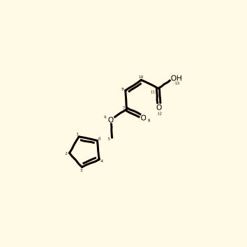 C1=CCC=C1.COC(=O)/C=C\C(=O)O